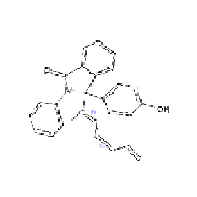 C=C/C=C\C=C(/C)C1(c2ccc(O)cc2)c2ccccc2C(=O)N1c1ccccc1